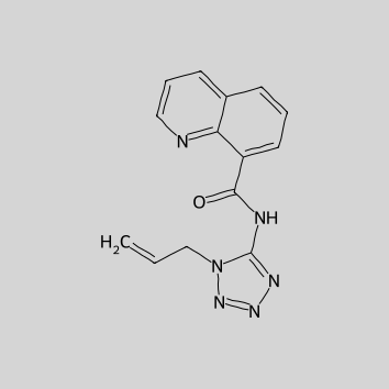 C=CCn1nnnc1NC(=O)c1cccc2cccnc12